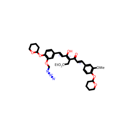 CCOC(=O)C/C(C(=O)/C=C/c1ccc(OC2CCCCO2)c(OC)c1)=C(O)\C=C\c1ccc(OC2CCCCO2)c(OCN=[N+]=[N-])c1